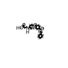 O=C(O)CCNc1ccc(OC2CCC(C(=O)OCc3ccccc3)CC2)nc1